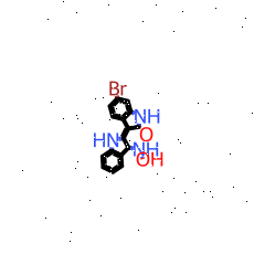 O=C1Nc2cc(Br)ccc2C1=C1Nc2ccccc2C1NO